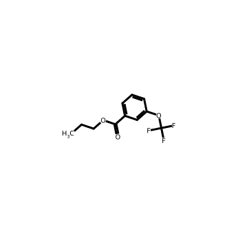 CCCOC(=O)c1cccc(OC(F)(F)F)c1